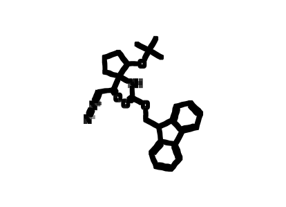 CC(C)(C)OC1CCCC1(NC(=O)OCC1c2ccccc2-c2ccccc21)C(=O)C=[N+]=[N-]